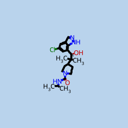 CC(C)NC(=O)N1CCC(C(C)(C)[C@H](O)c2cc(Cl)cc3cn[nH]c23)CC1